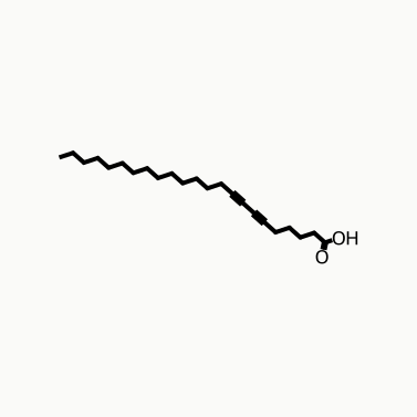 CCCCCCCCCCCCCCC#CC#CCCCCC(=O)O